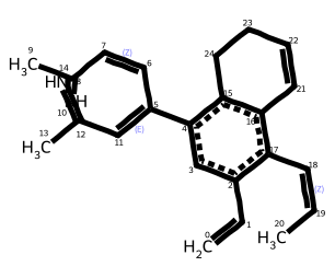 C=Cc1cc(C(/C=C\C(C)=N)=C/C(C)=N)c2c(c1/C=C\C)C=CCC2